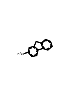 CCCCc1[c]c2c(cc1)-c1ccccc1C2